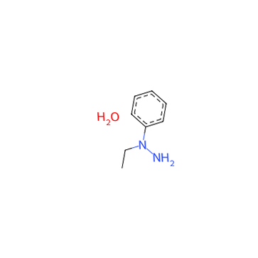 CCN(N)c1ccccc1.O